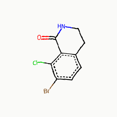 O=C1NCCc2ccc(Br)c(Cl)c21